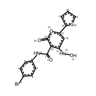 O=C(Nc1ccc(Br)cc1)c1c(NO)cc(-c2cccs2)oc1=O